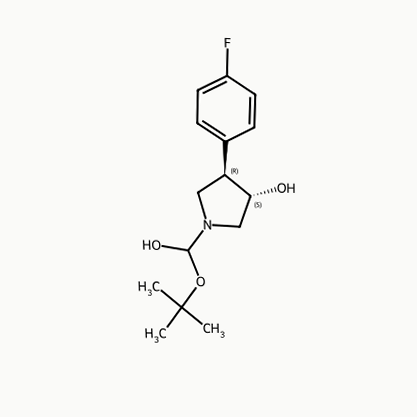 CC(C)(C)OC(O)N1C[C@@H](O)[C@H](c2ccc(F)cc2)C1